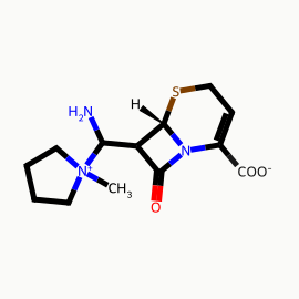 C[N+]1(C(N)C2C(=O)N3C(C(=O)[O-])=CCS[C@@H]23)CCCC1